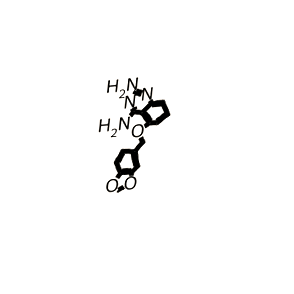 Nc1nc(N)c2c(OCc3ccc4c(c3)OCO4)cccc2n1